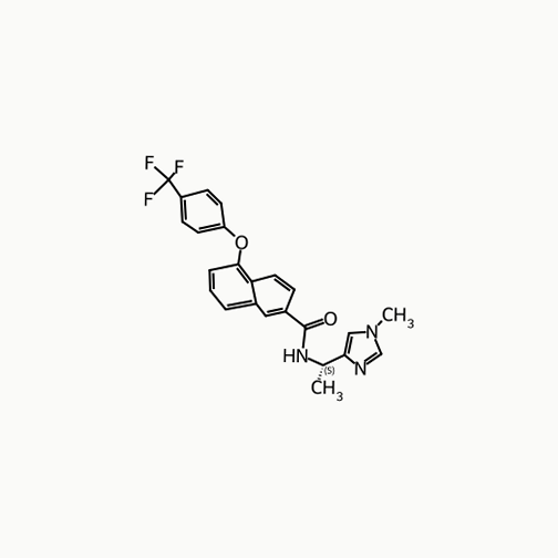 C[C@H](NC(=O)c1ccc2c(Oc3ccc(C(F)(F)F)cc3)cccc2c1)c1cn(C)cn1